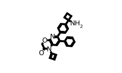 NC1(c2ccc(-c3nc4c(cc3-c3ccccc3)N(C3=CC=C3)C(=O)CO4)cc2)CCC1